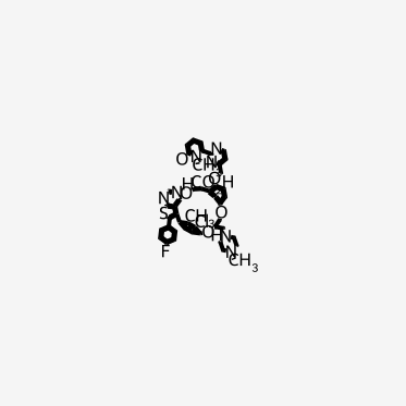 Cc1c2ccc(c1Cl)O[C@H](CN1CCN(C)CC1)COc1ccc(OCc3ccnc(-c4cccc(=O)n4C)n3)c(c1)C[C@H](C(=O)O)Oc1ncnc3sc(-c4ccc(F)cc4)c-2c13